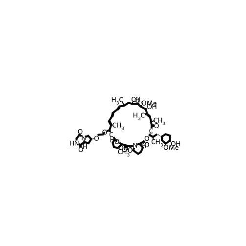 CO[C@@H]1C[C@H](C[C@@H](C)[C@@H]2CC(=O)[C@H](C)/C=C(\C)[C@@H](O)[C@@H](OC)C(=O)[C@H](C)C[C@H](C)/C=C/C=C/C=C(\C)C(OCCO[C@@H]3C[C@H]4C(=O)NCC(=O)N4C3)C[C@@H]3CC[C@@H](C)[C@@](O)(O3)C(=O)C(=O)N3CCCC[C@H]3C(=O)O2)CC[C@H]1O